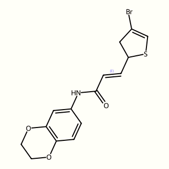 O=C(/C=C/C1CC(Br)=CS1)Nc1ccc2c(c1)OCCO2